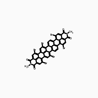 CN1C(=O)c2cc(Br)c3c4ccc5c6c(Br)cc7c8c(Br)cc9c%10c(cc(Br)c(c%11cc(Br)c(c%12ccc(c%13c(Br)cc(c2c3%13)C1=O)c4c5%12)c6c7%11)c%108)C(=O)N(C)C9=O